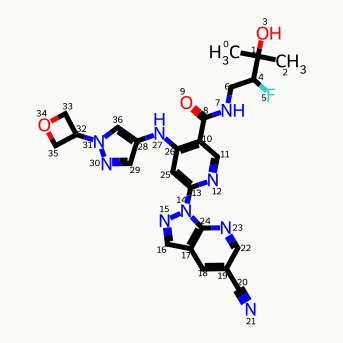 CC(C)(O)C(F)CNC(=O)c1cnc(-n2ncc3cc(C#N)cnc32)cc1Nc1cnn(C2COC2)c1